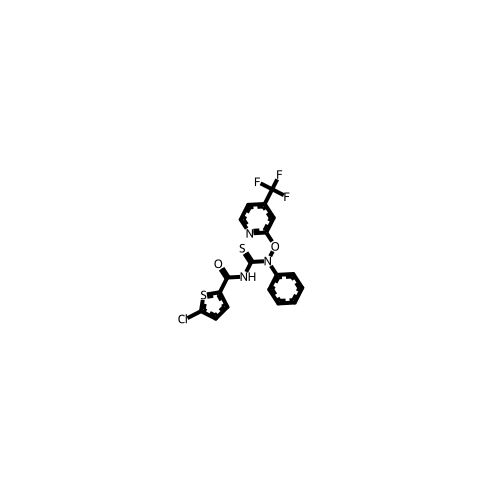 O=C(NC(=S)N(Oc1cc(C(F)(F)F)ccn1)c1ccccc1)c1ccc(Cl)s1